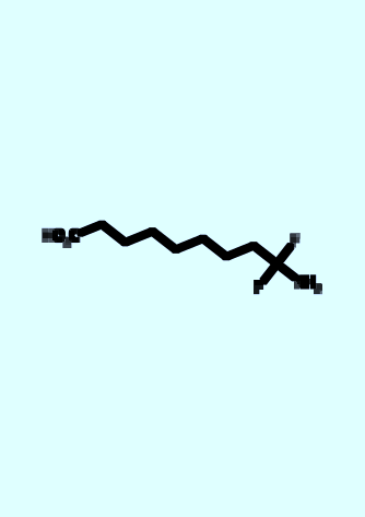 NC(F)(F)CCCCCCCC(=O)O